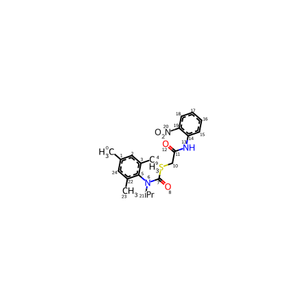 Cc1cc(C)c(N(C(=O)SCC(=O)Nc2ccccc2[N+](=O)[O-])C(C)C)c(C)c1